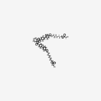 C=CC(=O)OCCCCCCCCOc1ccc(-c2ccc(C(=O)O[C@@H]3CCCC[C@H]3OC(=O)c3ccc(-c4ccc(OCCCCCCCCOC(=O)C=C)cn4)cc3)cc2)nc1